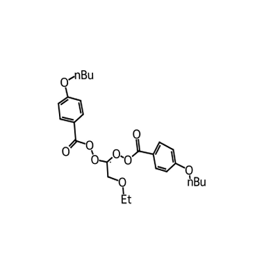 [CH2]COC[C](OOC(=O)c1ccc(OCCCC)cc1)OOC(=O)c1ccc(OCCCC)cc1